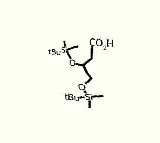 CC(C)(C)[Si](C)(C)OCC(CC(=O)O)O[Si](C)(C)C(C)(C)C